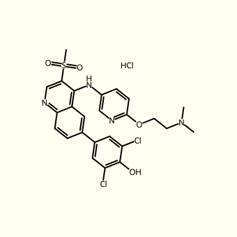 CN(C)CCOc1ccc(Nc2c(S(C)(=O)=O)cnc3ccc(-c4cc(Cl)c(O)c(Cl)c4)cc23)cn1.Cl